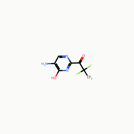 Nc1cnc(C(=O)C(F)(F)C(F)(F)F)nc1O